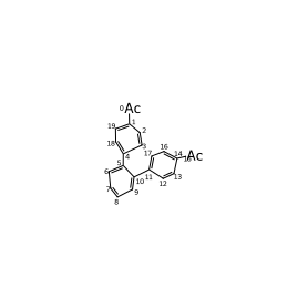 CC(=O)c1ccc(-c2ccccc2-c2ccc(C(C)=O)cc2)cc1